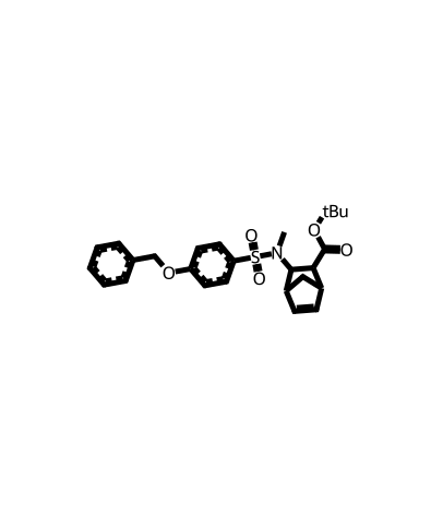 CN(C1C2C=CC(C2)C1C(=O)OC(C)(C)C)S(=O)(=O)c1ccc(OCc2ccccc2)cc1